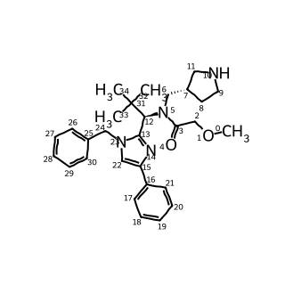 COCC(=O)N(C[C@H]1CCNC1)[C@@H](c1nc(-c2ccccc2)cn1Cc1ccccc1)C(C)(C)C